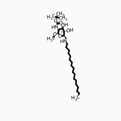 CCCCCCCCCCCCCCCCCCNC[C@H]1O[C@H](OC)[C@H](NC(=O)OC(C)(C)C)[C@@H](O)[C@@H]1O